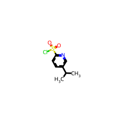 CC(C)c1ccc(S(=O)(=O)Cl)nc1